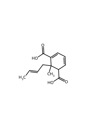 CC=CCC1(C)C(C(=O)O)=CC=CC1C(=O)O